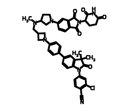 CN(CC1CN(c2ccc(-c3ccc4c(c3)C(C)(C)C(=O)N4c3ccc(C#N)c(Cl)c3)cc2)C1)C1CCN(c2ccc3c(c2)C(=O)N(C2CCC(=O)NC2=O)C3=O)C1